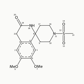 COc1cc2c(cc1OC)C1(CCN(S(C)(=O)=O)CC1)NC(=O)C2